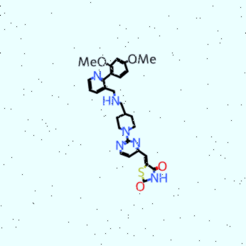 COc1ccc(-c2ncccc2CNCC2CCN(c3nccc(/C=C4\SC(=O)NC4=O)n3)CC2)c(OC)c1